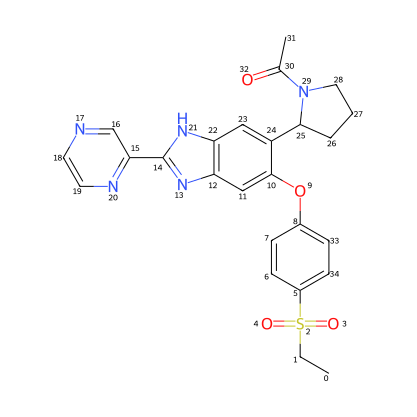 CCS(=O)(=O)c1ccc(Oc2cc3nc(-c4cnccn4)[nH]c3cc2C2CCCN2C(C)=O)cc1